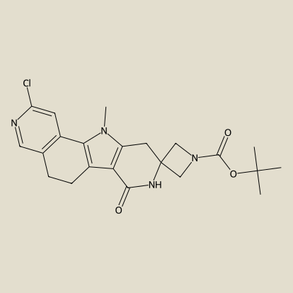 Cn1c2c(c3c1-c1cc(Cl)ncc1CC3)C(=O)NC1(C2)CN(C(=O)OC(C)(C)C)C1